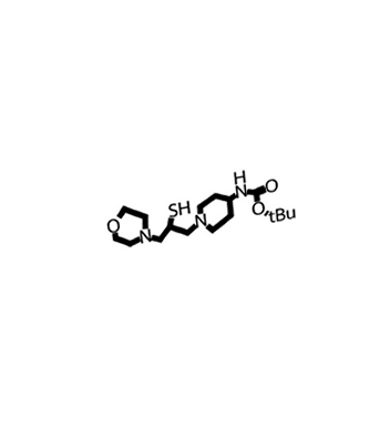 CC(C)(C)OC(=O)NC1CCN(CC(S)CN2CCOCC2)CC1